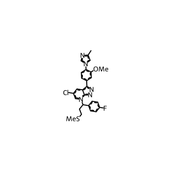 COc1cc(-c2nnc3n(C(CCSC)c4ccc(F)cc4)cc(Cl)cc2-3)ccc1-n1cnc(C)c1